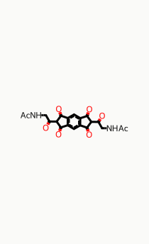 CC(=O)NCC(=O)C1C(=O)c2cc3c(cc2C1=O)C(=O)C(C(=O)CNC(C)=O)C3=O